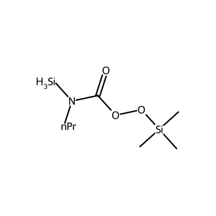 CCCN([SiH3])C(=O)OO[Si](C)(C)C